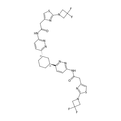 O=C(Cc1csc(N2CC(F)(F)C2)n1)Nc1ccc([C@H]2CCC[C@H](c3ccc(NC(=O)Cc4csc(N5CC(F)(F)C5)n4)nn3)C2)nn1